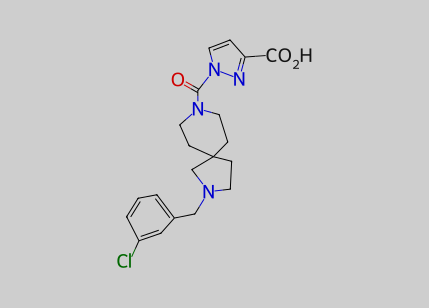 O=C(O)c1ccn(C(=O)N2CCC3(CCN(Cc4cccc(Cl)c4)C3)CC2)n1